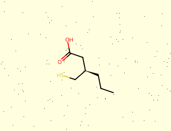 CCC[C@@H](CS)CC(=O)O